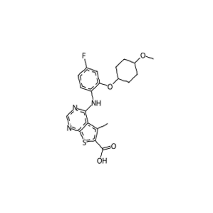 COC1CCC(Oc2cc(F)ccc2Nc2ncnc3sc(C(=O)O)c(C)c23)CC1